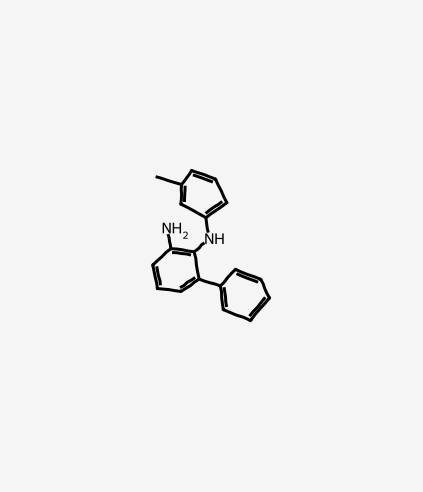 Cc1cccc(Nc2c(N)cccc2-c2ccccc2)c1